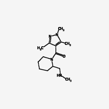 CNCC1CCCCN1C(=O)c1c(C)nn(C)c1C